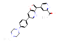 CC(=O)c1cc(-c2coc3cc(-c4ccc(N5CCN(C)CC5)cc4)cnc23)ccn1